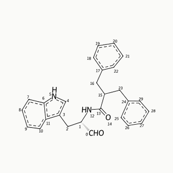 O=C[C@H](Cc1c[nH]c2ccccc12)NC(=O)C(Cc1ccccc1)Cc1ccccc1